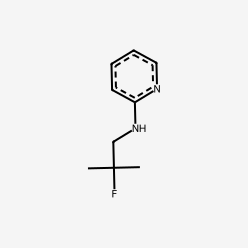 CC(C)(F)CNc1ccccn1